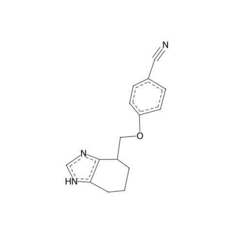 N#Cc1ccc(OCC2CCCc3[nH]cnc32)cc1